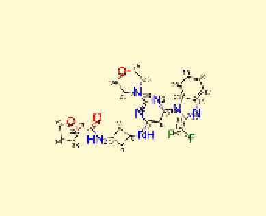 O=C(NC1CC(Nc2cc(-n3c(C(F)F)nc4ccccc43)nc(N3CCOCC3)n2)C1)[C@@H]1CCCO1